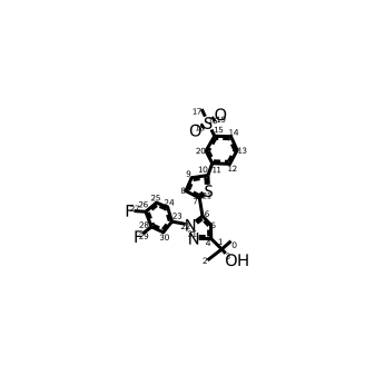 CC(C)(O)c1cc(-c2ccc(-c3cccc(S(C)(=O)=O)c3)s2)n(-c2ccc(F)c(F)c2)n1